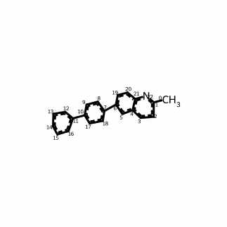 Cc1ccc2cc(-c3ccc(-c4ccccc4)cc3)ccc2n1